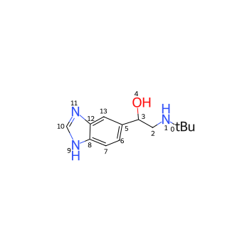 CC(C)(C)NCC(O)c1ccc2[nH]cnc2c1